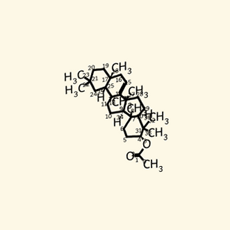 CC(=O)O[C@H]1CC[C@]2(C)[C@H]3CC[C@]4(C)C(=CC[C@@]5(C)CCC(C)(C)C[C@H]54)[C@]3(C)CC[C@H]2C1(C)C